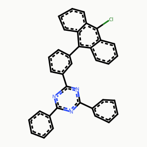 Clc1c2ccccc2c(-c2cccc(-c3nc(-c4ccccc4)nc(-c4ccccc4)n3)c2)c2ccccc12